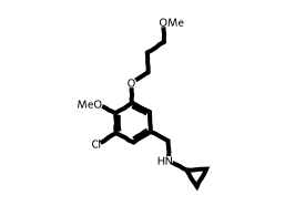 COCCCOc1cc(CNC2CC2)cc(Cl)c1OC